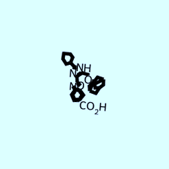 O=C(O)c1ccc2nc(-c3nc(C4CCCCC4)[nH]c3COC34CC5CC(CC(C5)C3)C4)oc2c1